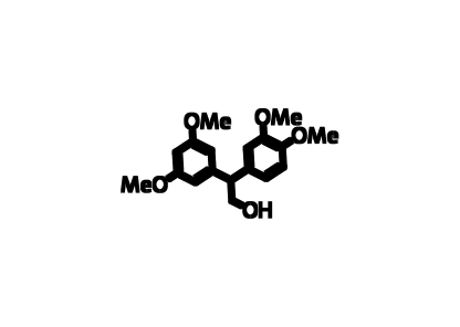 COc1cc(OC)cc(C(CO)c2ccc(OC)c(OC)c2)c1